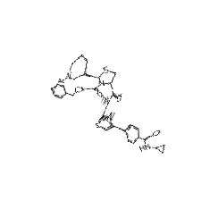 CC(=O)N1CCCC(C2SCC(C(=O)Nc3nc(-c4ccc(C(=O)NC5CC5)cc4)cs3)N2C(=O)OCc2ccccc2)C1